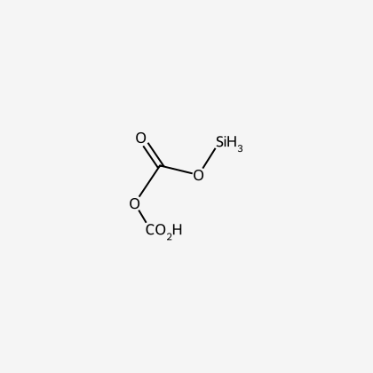 O=C(O)OC(=O)O[SiH3]